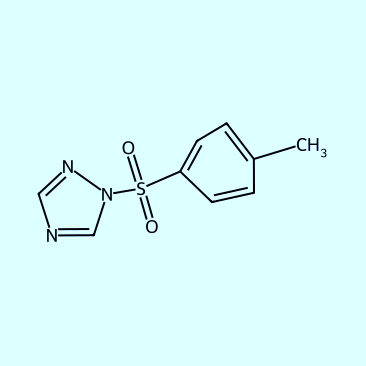 Cc1ccc(S(=O)(=O)n2cncn2)cc1